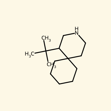 CC(C)(C)C1CNCCC12CCCCC2